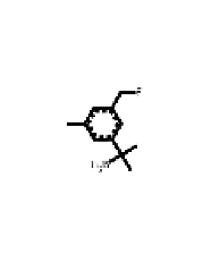 BC(C)(C)c1cc(C)cc(CF)c1